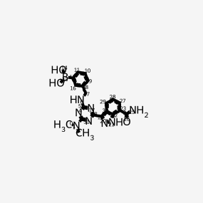 CN(C)c1nc(NCc2cccc(B(O)O)c2)nc(-c2n[nH]c3c(C(N)=O)cccc23)n1